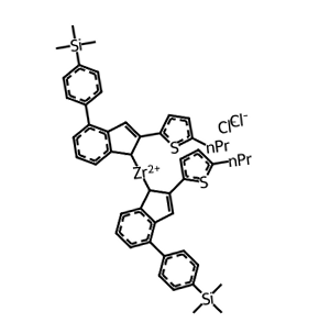 CCCc1ccc(C2=Cc3c(-c4ccc([Si](C)(C)C)cc4)cccc3[CH]2[Zr+2][CH]2C(c3ccc(CCC)s3)=Cc3c(-c4ccc([Si](C)(C)C)cc4)cccc32)s1.[Cl-].[Cl-]